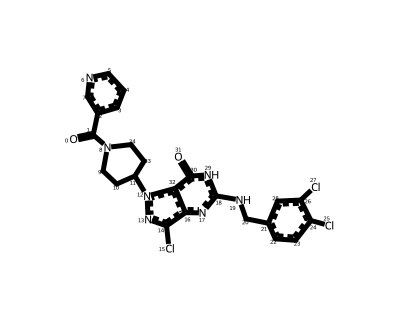 O=C(c1cccnc1)N1CCC(n2nc(Cl)c3nc(NCc4ccc(Cl)c(Cl)c4)[nH]c(=O)c32)CC1